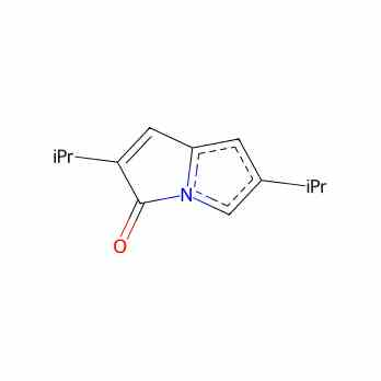 CC(C)C1=Cc2cc(C(C)C)cn2C1=O